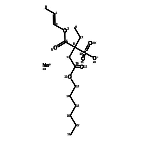 CC=COC(=O)C(CC)(CC(=O)OCCCCCC)S(=O)(=O)[O-].[Na+]